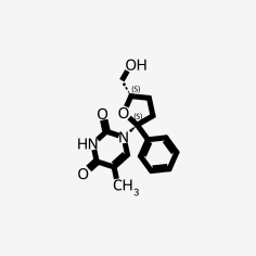 Cc1cn([C@@]2(c3ccccc3)CC[C@@H](CO)O2)c(=O)[nH]c1=O